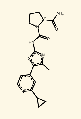 Cc1nc(NC(=O)N2CCC[C@H]2C(N)=O)sc1-c1ccnc(C2CC2)c1